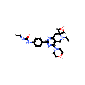 CCNC(=O)Nc1ccc(-c2nc3c(c(N4CCOCC4)n2)CN(CC)C2(COC2)C3)cc1